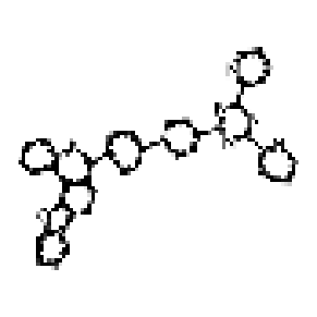 c1ccc(-c2nc(-c3ccc(-c4ccc(-c5nc6ccccc6c6c5ccc5c7ccccc7oc56)cc4)cc3)nc(-c3ccccn3)n2)nc1